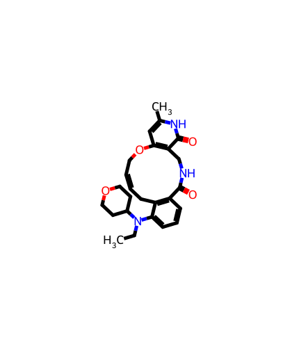 CCN(c1cccc2c1CC=CCOc1cc(C)[nH]c(=O)c1CNC2=O)C1CCOCC1